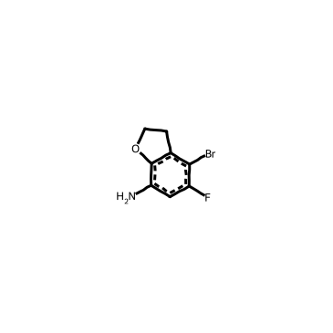 Nc1cc(F)c(Br)c2c1OCC2